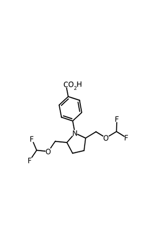 O=C(O)c1ccc(N2C(COC(F)F)CCC2COC(F)F)cc1